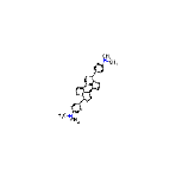 CN(C)c1ccc(-c2ccc3c4cccc5c(-c6ccc(N(C)C)cc6)ccc(c6cccc2c63)c54)cc1